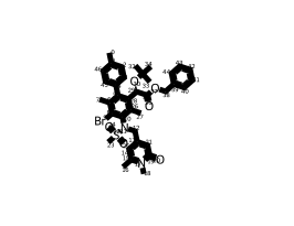 Cc1ccc(-c2c(C)c(Br)c(N(Cc3cc(C)n(C)c(=O)c3)S(C)(=O)=O)c(C)c2[C@H](OC(C)(C)C)C(=O)OCc2ccccc2)cc1